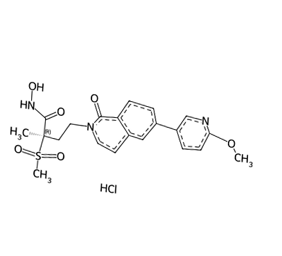 COc1ccc(-c2ccc3c(=O)n(CC[C@](C)(C(=O)NO)S(C)(=O)=O)ccc3c2)cn1.Cl